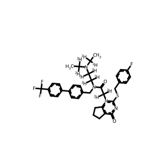 [2H]C([2H])(C)N(C([2H])([2H])C)C([2H])([2H])C([2H])([2H])N(Cc1ccc(-c2ccc(C(F)(F)F)cc2)cc1)C(=O)C([2H])([2H])n1c(SCc2ccc(F)cc2)nc(=O)c2c1CCC2